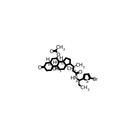 CC[C@@H](NC(=O)C[C@@H](C)C1CC[C@H]2[C@@H]3[C@H](OC(C)=O)C[C@@H]4CC(=O)CC[C@]4(C)[C@H]3CC[C@]12C)c1ccc(Br)s1